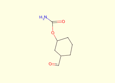 NC(=O)OC1CCCC(C=O)C1